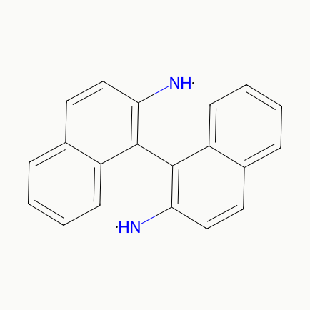 [NH]c1ccc2ccccc2c1-c1c([NH])ccc2ccccc12